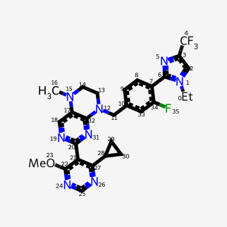 CCn1cc(C(F)(F)F)nc1-c1ccc(CN2CCN(C)c3cnc(-c4c(OC)ncnc4C4CC4)nc32)cc1F